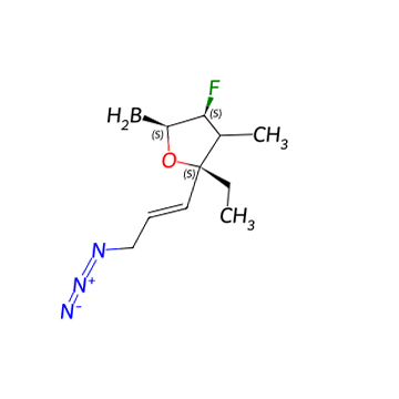 B[C@@H]1O[C@](C=CCN=[N+]=[N-])(CC)C(C)[C@@H]1F